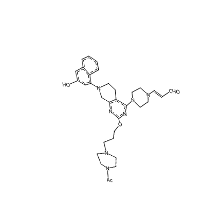 CC(=O)N1CCN(CCCOc2nc3c(c(N4CCN(C=CC=O)CC4)n2)CCN(c2cc(O)cc4ccccc24)C3)CC1